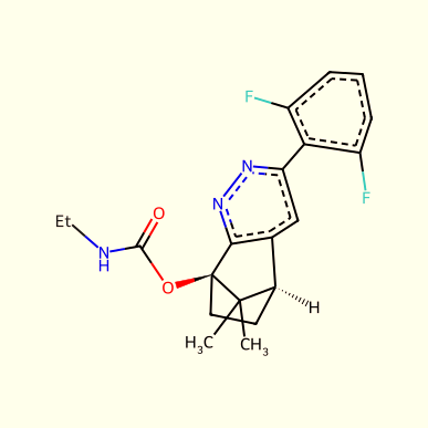 CCNC(=O)O[C@@]12CC[C@H](c3cc(-c4c(F)cccc4F)nnc31)C2(C)C